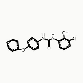 O=C(Nc1ccc(Oc2ccccc2)cc1)Nc1cccc(Cl)c1O